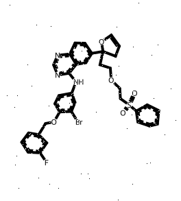 O=S(=O)(CCOCCC1(c2ccc3ncnc(Nc4ccc(OCc5cccc(F)c5)c(Br)c4)c3c2)CC=CO1)c1ccccc1